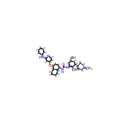 COc1c(NC(=O)Nc2ccc(Oc3ccnc(Nc4ccccc4)c3)c3ccccc23)cc(C(C)(C)C)cc1C1CCN(C)CC1